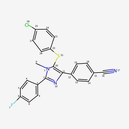 Cn1c(-c2ccc(F)cc2)nc(-c2ccc(C#N)cc2)c1Sc1ccc(Cl)cc1